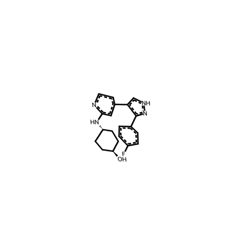 O[C@H]1CC[C@H](Nc2cc(-c3c[nH]nc3-c3ccc(F)cc3)ccn2)CC1